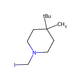 CC(C)(C)C1(C)CCN(CI)CC1